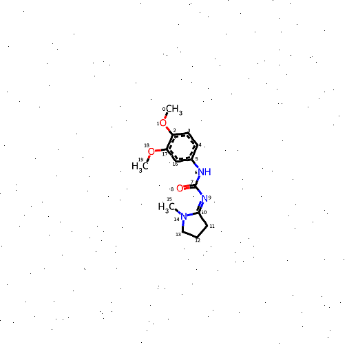 COc1ccc(NC(=O)N=C2CCCN2C)cc1OC